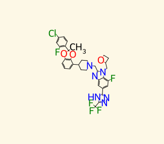 CC1(c2ccc(Cl)cc2F)Oc2cccc(C3CCN(Cc4nc5cc(-c6nnc(C(F)(F)F)[nH]6)cc(F)c5n4CC4CCO4)CC3)c2O1